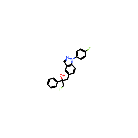 OC(CF)(Cc1ccc2c(cnn2-c2ccc(F)cc2)c1)c1ccccc1